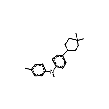 Cc1ccc(N(C)c2ccc(C3CCC(C)(C)CC3)cc2)cc1